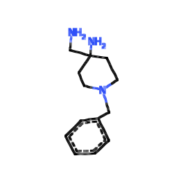 NCC1(N)CCN(Cc2ccccc2)CC1